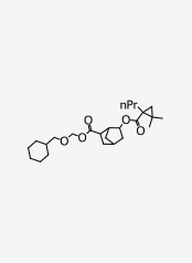 CCCC1(C(=O)OC2CC3CC(C(=O)OCOCC4CCCCC4)C2C3)CC1(C)C